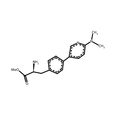 COC(=O)[C@@H](N)Cc1ccc(-c2ccc(N(C)C)nc2)cc1